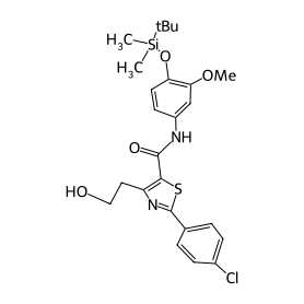 COc1cc(NC(=O)c2sc(-c3ccc(Cl)cc3)nc2CCO)ccc1O[Si](C)(C)C(C)(C)C